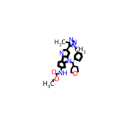 CCOC(=O)Nc1ccc2c3ncc(-c4c(C)nnn4C)cc3n([C@H](c3ccccc3)C3CCOCC3)c2c1